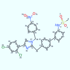 CS(=O)(=O)Nc1cccc(-c2ccc(Cc3nc(-c4ccc(Cl)cc4Cl)cn3Cc3ccc([N+](=O)[O-])cc3)cc2)c1